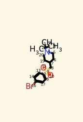 CC(C)(C)N1CCC(CS(=O)(=O)c2ccc(Br)cc2)CC1